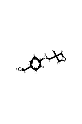 CC1(COc2ccc(C=O)cc2)COC1